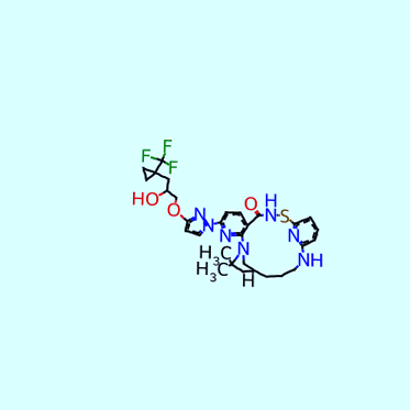 CC1(C)C[C@@H]2CCCNc3cccc(n3)SNC(=O)c3ccc(-n4ccc(OCC(O)CC5(C(F)(F)F)CC5)n4)nc3N1C2